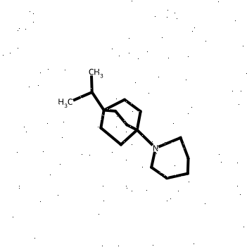 CC(C)C12CCC(N3CCCCC3)(CC1)CC2